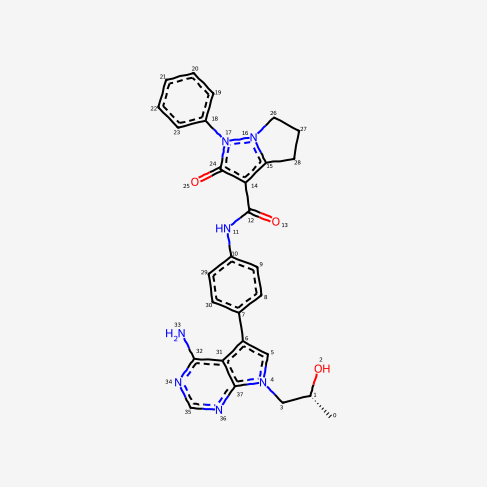 C[C@@H](O)Cn1cc(-c2ccc(NC(=O)c3c4n(n(-c5ccccc5)c3=O)CCC4)cc2)c2c(N)ncnc21